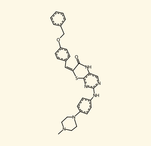 CN1CCN(c2ccc(Nc3ncc4c(n3)S/C(=C/c3ccc(OCc5ccccc5)cc3)C(=O)N4)cc2)CC1